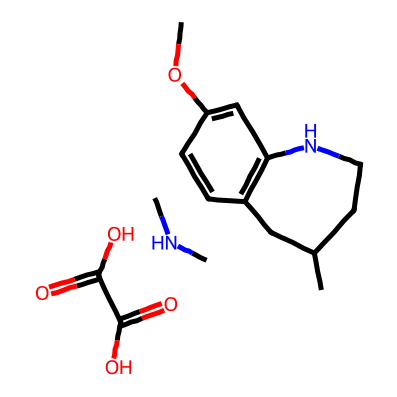 CNC.COc1ccc2c(c1)NCCC(C)C2.O=C(O)C(=O)O